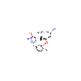 Cc1cc(C#N)cc(Oc2cc(Cc3ccc(=O)[nH]n3)ccc2C)c1